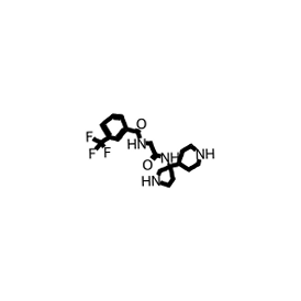 O=C(CNC(=O)c1cccc(C(F)(F)F)c1)N[C@@]1(C2CCNCC2)CCNC1